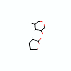 CC1COCC(OC2CCCCO2)C1